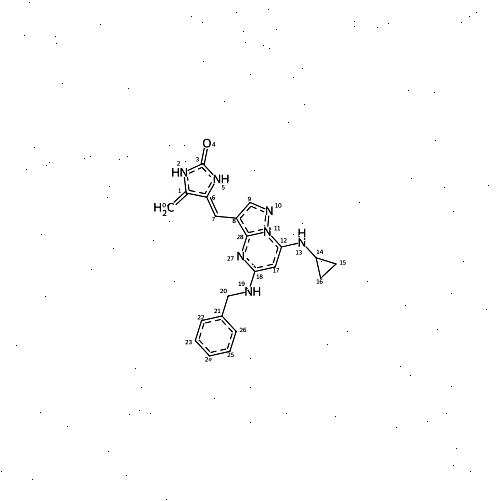 C=c1[nH]c(=O)[nH]/c1=C\c1cnn2c(NC3CC3)cc(NCc3ccccc3)nc12